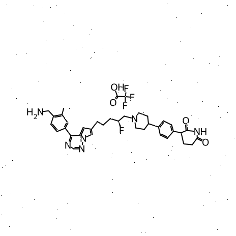 Cc1cc(-c2ncnn3cc(CCC[C@H](F)CN4CCC(c5ccc(C6CCC(=O)NC6=O)cc5)CC4)cc23)ccc1CN.O=C(O)C(F)(F)F